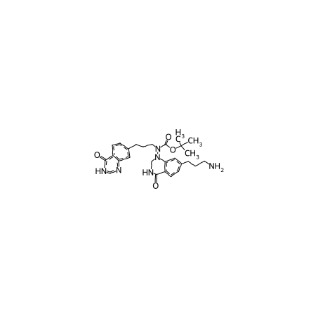 CC(C)(C)OC(=O)N(CCCc1ccc2c(=O)[nH]cnc2c1)N1CNC(=O)c2ccc(CCCN)cc21